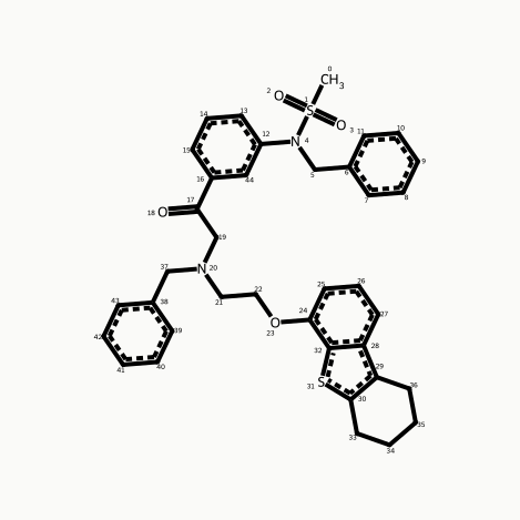 CS(=O)(=O)N(Cc1ccccc1)c1cccc(C(=O)CN(CCOc2cccc3c4c(sc23)CCCC4)Cc2ccccc2)c1